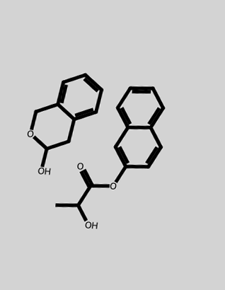 CC(O)C(=O)Oc1ccc2ccccc2c1.OC1Cc2ccccc2CO1